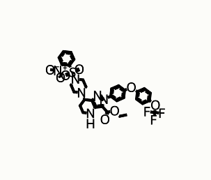 CCOC(=O)c1c2c(nn1-c1ccc(Oc3ccc(OC(F)(F)F)cc3)cc1)[C@H](N1CCN(S(=O)(=O)c3ccccc3[N+](=O)[O-])CC1)CCN2